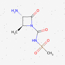 C[C@H]1[C@H](N)C(=O)N1C(=O)NS(C)(=O)=O